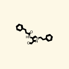 O=Cc1nn(CCc2ccccc2)cc1NC(=O)CCc1ccccc1